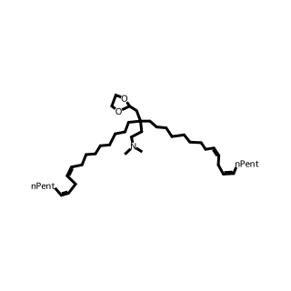 CCCCC/C=C\C/C=C\CCCCCCCCC(CCCCCCCC/C=C\C/C=C\CCCCC)(CCN(C)C)CC1OCCO1